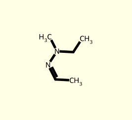 C/C=N\N(C)CC